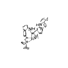 CC(C)(C)SC(=O)N1CC(=O)c2c([nH]c(-c3ccnc(NC(=O)C4(F)CC4)c3)c2Nc2ccccc2)C1